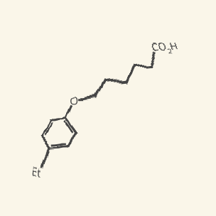 CCc1ccc(OCCCCCC(=O)O)cc1